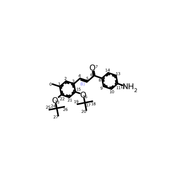 Cc1cc(/C=C/C(=O)c2ccc(N)cc2)c(OC(C)(C)C)cc1OC(C)(C)C